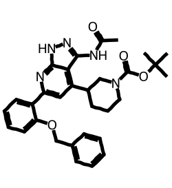 CC(=O)Nc1n[nH]c2nc(-c3ccccc3OCc3ccccc3)cc(C3CCCN(C(=O)OC(C)(C)C)C3)c12